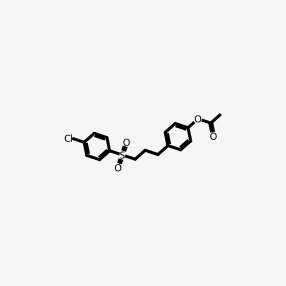 CC(=O)Oc1ccc(CCCS(=O)(=O)c2ccc(Cl)cc2)cc1